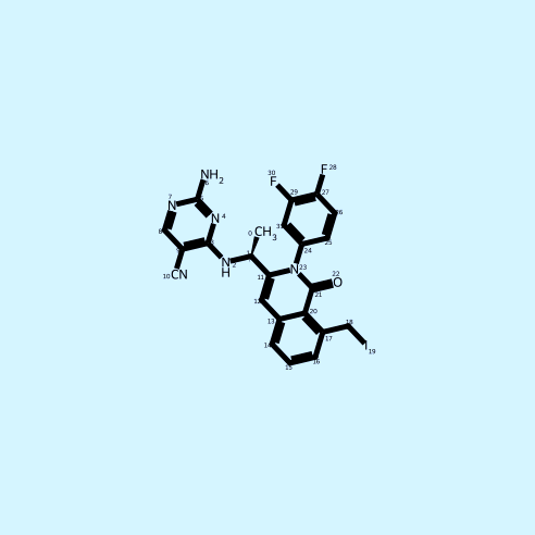 C[C@H](Nc1nc(N)ncc1C#N)c1cc2cccc(CI)c2c(=O)n1-c1ccc(F)c(F)c1